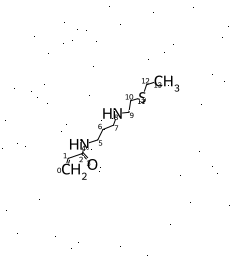 C=CC(=O)NCCCNCCSCC